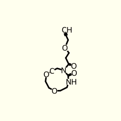 C#CCOCCC(=O)N1CCOCCOCCNC1=O